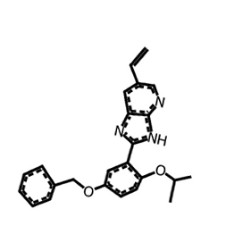 C=Cc1cnc2[nH]c(-c3cc(OCc4ccccc4)ccc3OC(C)C)nc2c1